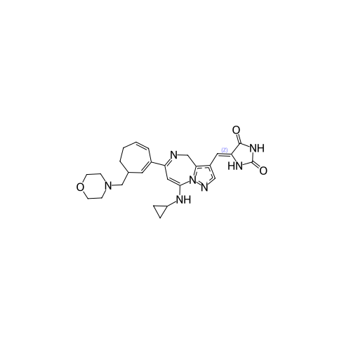 O=C1NC(=O)/C(=C/c2cnn3c2CN=C(C2=CC(CN4CCOCC4)CCC=C2)C=C3NC2CC2)N1